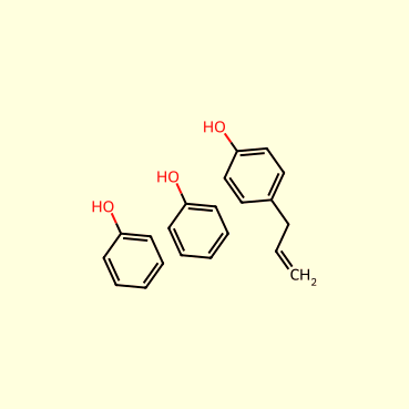 C=CCc1ccc(O)cc1.Oc1ccccc1.Oc1ccccc1